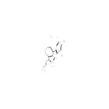 CCCCc1c(OC)ccc2c1CCCC=C2c1cc(OC)c(OC)c(OC)c1